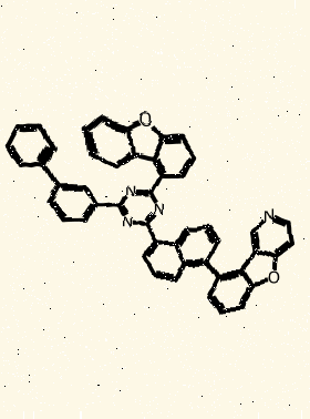 c1ccc(-c2cccc(-c3nc(-c4cccc5c(-c6cccc7oc8ccncc8c67)cccc45)nc(-c4cccc5oc6ccccc6c45)n3)c2)cc1